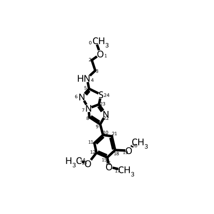 COCCNc1nn2cc(-c3cc(OC)c(OC)c(OC)c3)nc2s1